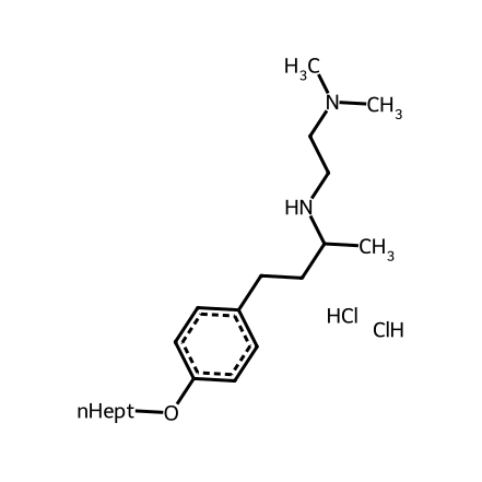 CCCCCCCOc1ccc(CCC(C)NCCN(C)C)cc1.Cl.Cl